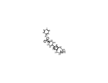 O=C(OCc1ccccc1)N1CCC(c2nc3c(s2)CCNCC3)CC1